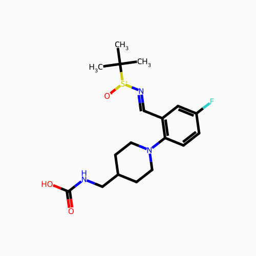 CC(C)(C)[S+]([O-])/N=C/c1cc(F)ccc1N1CCC(CNC(=O)O)CC1